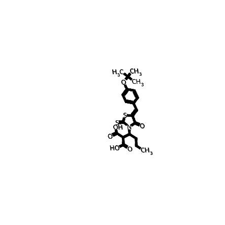 CCCC(C(C(=O)O)C(=O)O)N1C(=O)C(=Cc2ccc(OC(C)(C)C)cc2)SC1=S